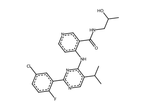 CC(O)CNC(=O)c1cnccc1Nc1nc(-c2cc(Cl)ccc2F)ncc1C(C)C